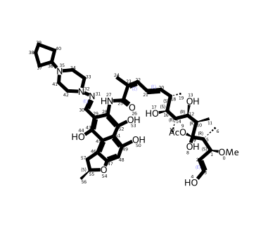 CO[C@@H](/C=C/O)[C@@H](C)[C@@](O)(OC(C)=O)[C@H](C)[C@H](O)[C@H](C)[C@@H](O)[C@@H](C)/C=C/C=C(/C)C(=O)Nc1c(/C=N/N2CCN(C3CCCC3)CC2)c(O)c2c3c(cc(O)c2c1O)O[C@@H](C)C3